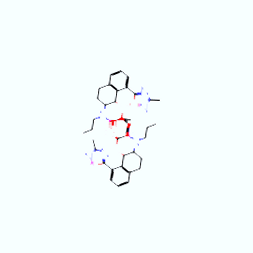 CCCN(CCC)C1CCc2cccc(-c3nc(C)no3)c2C1OC(=O)/C=C\C(=O)OC1c2c(cccc2-c2nc(C)no2)CCC1N(CCC)CCC